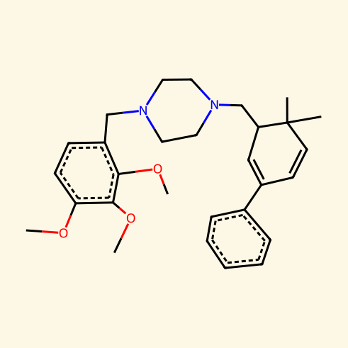 COc1ccc(CN2CCN(CC3C=C(c4ccccc4)C=CC3(C)C)CC2)c(OC)c1OC